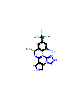 C[C@@H](NC1=NC2=NNCN2C2=C1CNC2)c1cc(N)cc(C(F)(F)F)c1